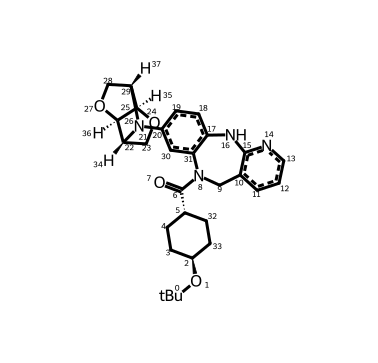 CC(C)(C)O[C@H]1CC[C@H](C(=O)N2Cc3cccnc3Nc3ccc(N4[C@@H]5CO[C@H]6[C@@H]5OC[C@H]64)cc32)CC1